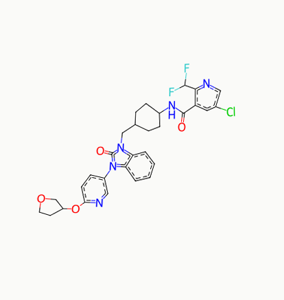 O=C(NC1CCC(Cn2c(=O)n(-c3ccc(OC4CCOC4)nc3)c3ccccc32)CC1)c1cc(Cl)cnc1C(F)F